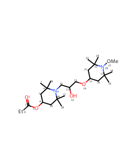 CCC(=O)OC1CC(C)(C)N(CC(O)COC2CC(C)(C)N(OC)C(C)(C)C2)C(C)(C)C1